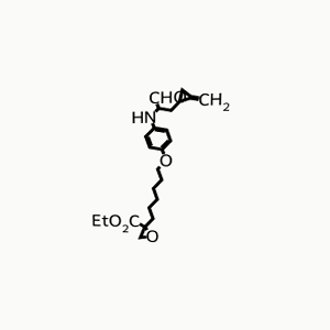 C=C1CC1CC(C=O)Nc1ccc(OCCCCCCC2(C(=O)OCC)CO2)cc1